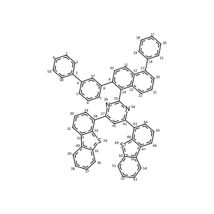 c1ccc(-c2cccc(-c3ccc4c(-c5ccccc5)cccc4c3-c3nc(-c4cccc5c4sc4ccccc45)cc(-c4cccc5c4sc4ccccc45)n3)c2)cc1